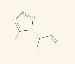 C=CC(O)n1ncnc1S